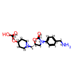 NCc1ccc(N2C[C@H](CN3CCC(OC(=O)O)CC3)OC2=O)cc1